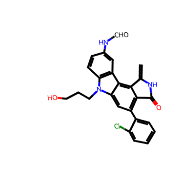 C=C1NC(=O)c2c(-c3ccccc3Cl)cc3c(c21)c1cc(NC=O)ccc1n3CCCO